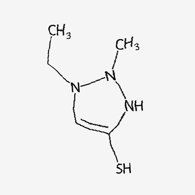 CCN1C=C(S)NN1C